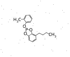 CCCCc1cccc2c1OP(Oc1ccccc1C)O2